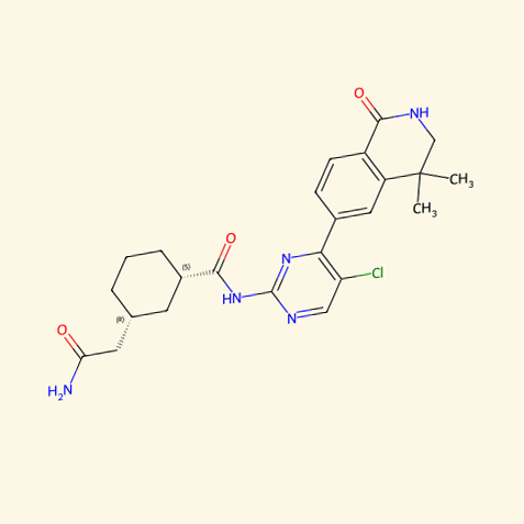 CC1(C)CNC(=O)c2ccc(-c3nc(NC(=O)[C@H]4CCC[C@@H](CC(N)=O)C4)ncc3Cl)cc21